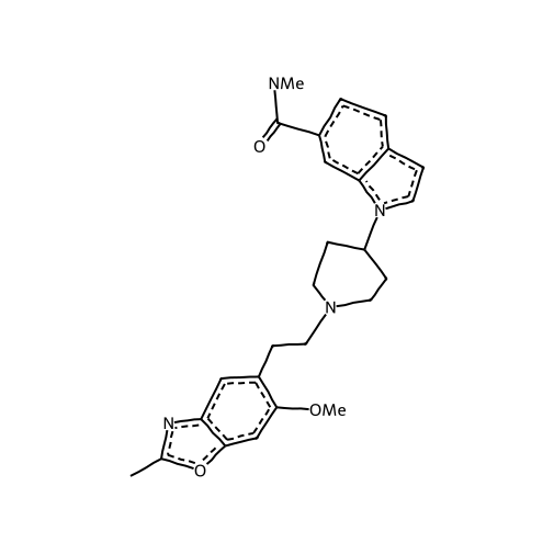 CNC(=O)c1ccc2ccn(C3CCN(CCc4cc5nc(C)oc5cc4OC)CC3)c2c1